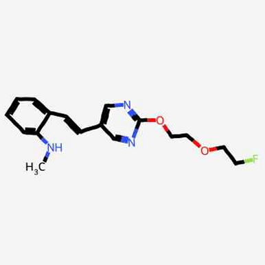 CNc1ccccc1C=Cc1cnc(OCCOCCF)nc1